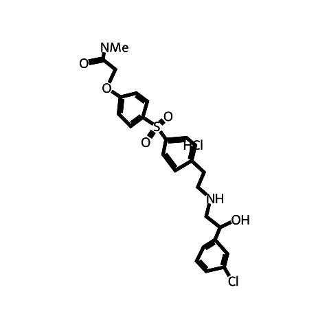 CNC(=O)COc1ccc(S(=O)(=O)c2ccc(CCNCC(O)c3cccc(Cl)c3)cc2)cc1.Cl